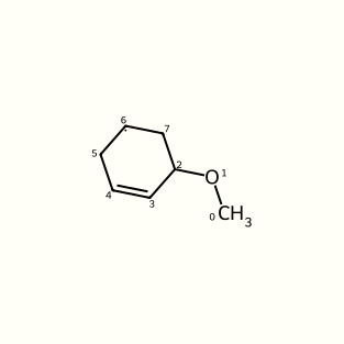 COC1C=CC[CH]C1